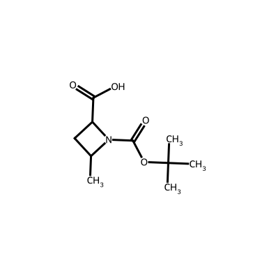 CC1CC(C(=O)O)N1C(=O)OC(C)(C)C